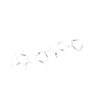 C=C(N)/C(Cl)=C(\C=C/C)Oc1ccc(NC(=O)c2cnn(-c3ccccc3)c2)cc1F